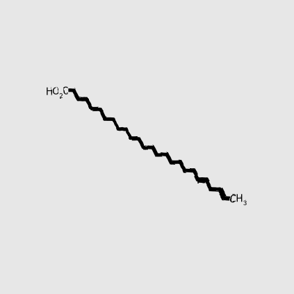 CC=CCC=CCCCCCCCCCCCCCCCCCCCC(=O)O